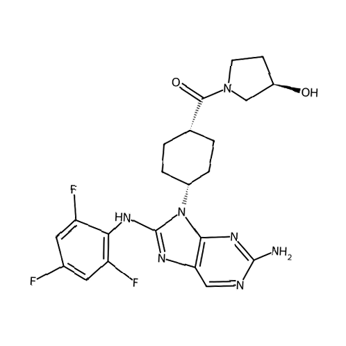 Nc1ncc2nc(Nc3c(F)cc(F)cc3F)n([C@H]3CC[C@@H](C(=O)N4CC[C@@H](O)C4)CC3)c2n1